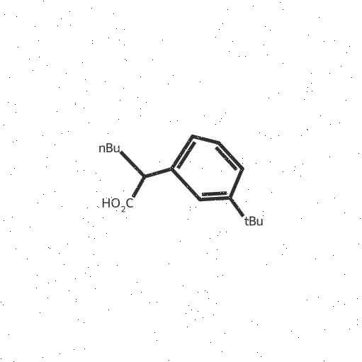 CCCCC(C(=O)O)c1cccc(C(C)(C)C)c1